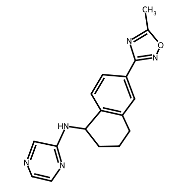 Cc1nc(-c2ccc3c(c2)CCCC3Nc2cnccn2)no1